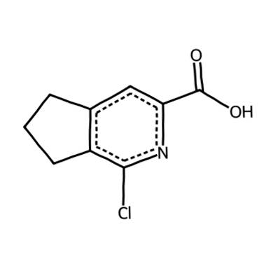 O=C(O)c1cc2c(c(Cl)n1)CCC2